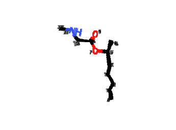 C=CCCC[C@H](C)OC(=O)CNC